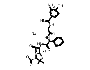 CC1(C)S[C@@H]2[C@H](NC(=O)C(NC(=O)CNC(=N)c3ccc(O)c(N)c3)c3ccccc3)C(=O)N2[C@H]1C(=O)[O-].[Na+]